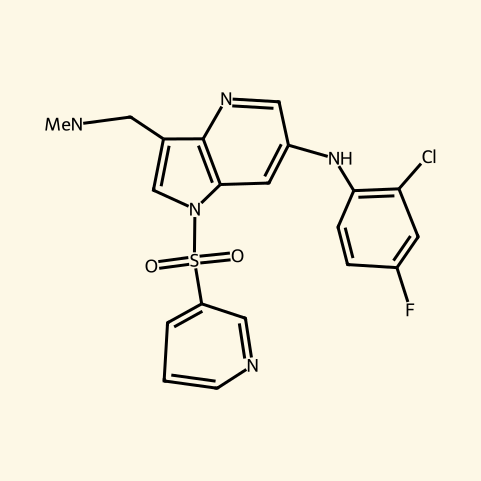 CNCc1cn(S(=O)(=O)c2cccnc2)c2cc(Nc3ccc(F)cc3Cl)cnc12